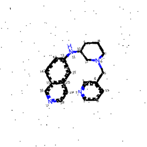 c1cncc(CN2CCCC(Nc3ccc4cnccc4c3)C2)c1